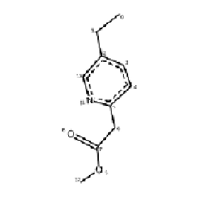 CCc1ccc(CC(=O)OC)nc1